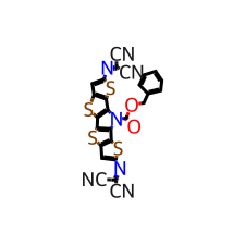 N#CC(C#N)=Nc1cc2sc3c4sc5cc(N=C(C#N)C#N)sc5c4n(C(=O)OCc4ccccc4)c3c2s1